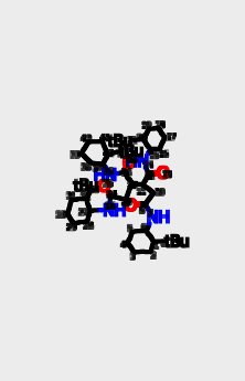 CC(C)(C)C1CCCCC1NC(=O)CC(C(=O)NC1CCCCC1C(C)(C)C)C(CC(=O)NC1CCCCC1C(C)(C)C)C(=O)NC1CCCCC1C(C)(C)C